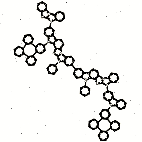 c1ccc(-n2c3ccc(-c4ccc5c(c4)n(-c4ccccc4)c4nc6c7c(ccc6n54)c4cc(-n5c6ccccc6n6c8ccccc8nc56)ccc4n7-c4ccc5c(c4)-c4ccccc4-c4ccccc4-c4ccccc4-5)cc3c3ccc4c(nc5n(-c6ccc7c(c6)c6ccccc6n7-c6ccc7c(c6)-c6ccccc6-c6ccccc6-c6ccccc6-7)c6ccccc6n45)c32)cc1